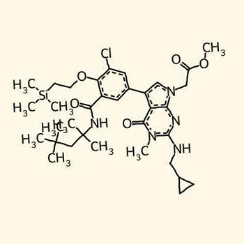 COC(=O)Cn1cc(-c2cc(Cl)c(OCC[Si](C)(C)C)c(C(=O)NC(C)(C)CC(C)(C)C)c2)c2c(=O)n(C)c(NCC3CC3)nc21